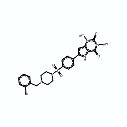 CCCn1c(=O)c2[nH]c(-c3ccc(S(=O)(=O)N4CCN(Cc5ccccc5Br)CC4)cc3)cc2n(CCC)c1=O